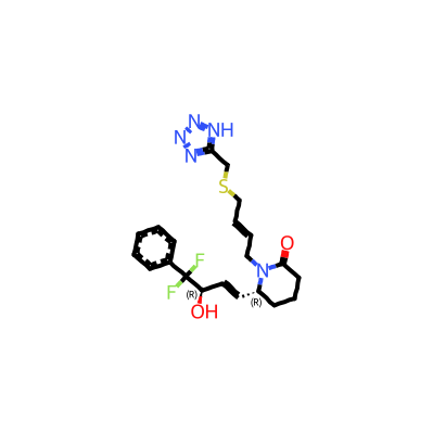 O=C1CCC[C@H](C=C[C@@H](O)C(F)(F)c2ccccc2)N1CC=CCSCc1nnn[nH]1